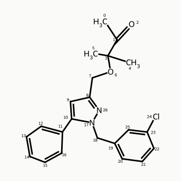 CC(=O)C(C)(C)OCc1cc(-c2ccccc2)n(Cc2cccc(Cl)c2)n1